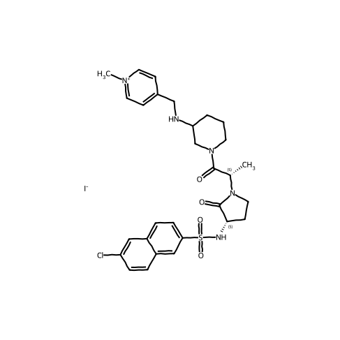 C[C@@H](C(=O)N1CCCC(NCc2cc[n+](C)cc2)C1)N1CC[C@H](NS(=O)(=O)c2ccc3cc(Cl)ccc3c2)C1=O.[I-]